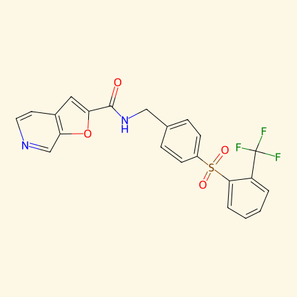 O=C(NCc1ccc(S(=O)(=O)c2ccccc2C(F)(F)F)cc1)c1cc2ccncc2o1